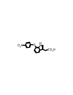 O=C(O)Cc1c[nH]c2c(Oc3ccc([N+](=O)[O-])cc3)cccc12